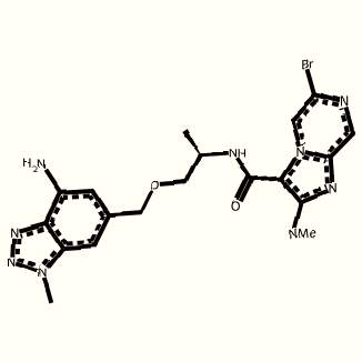 CNc1nc2cnc(Br)cn2c1C(=O)N[C@H](C)COCc1cc(N)c2nnn(C)c2c1